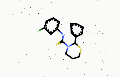 S=C(Nc1cccc(Cl)c1)N1CCCSC1c1ccccc1